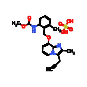 C#CCc1c(C)nc2c(OCc3c(C)cccc3NC(=O)OC)cccn12.O=S(=O)(O)O